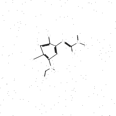 CN(C)/C(=N/c1cc([S+]([O-])CC(F)(F)F)c(Cl)cc1Cl)C(F)(F)F